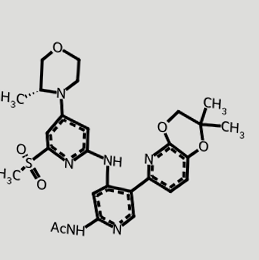 CC(=O)Nc1cc(Nc2cc(N3CCOC[C@H]3C)cc(S(C)(=O)=O)n2)c(-c2ccc3c(n2)OCC(C)(C)O3)cn1